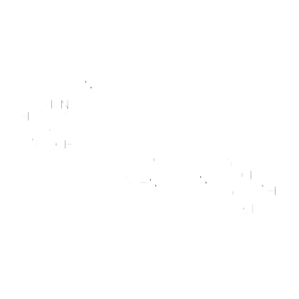 CC(C)(C)OC(=O)N1CCC(NS(=O)(=O)c2ccc(-c3ccnc4[nH]c(C(C)(C)C)cc34)cc2)CC1